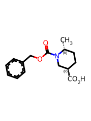 C[C@@H]1CC[C@@H](C(=O)O)CN1C(=O)OCc1ccccc1